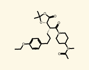 CCOc1ccc(CCC[C@@H](C(=O)N2CCC(N(C)C(C)=O)CC2)[C@@H]2OC(C)(C)OC2=O)cc1